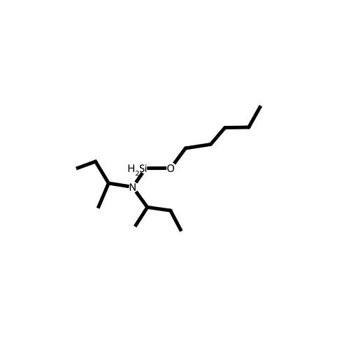 CCCCCO[SiH2]N(C(C)CC)C(C)CC